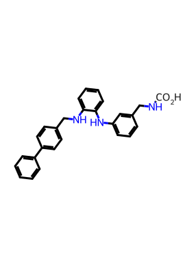 O=C(O)NCc1cccc(Nc2ccccc2NCc2ccc(-c3ccccc3)cc2)c1